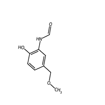 COCc1ccc(O)c(NC=O)c1